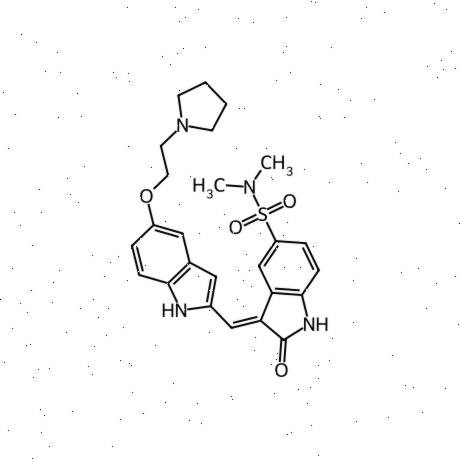 CN(C)S(=O)(=O)c1ccc2c(c1)/C(=C\c1cc3cc(OCCN4CCCC4)ccc3[nH]1)C(=O)N2